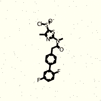 Cc1nc(N(C)C(=O)Cc2ccc(-c3cc(F)ccc3F)cc2)sc1[S+]([O-])Cl